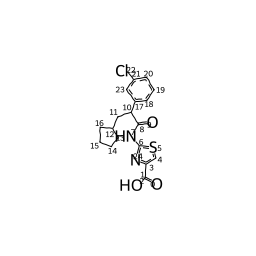 O=C(O)c1csc(NC(=O)C(CC2CCCC2)c2cccc(Cl)c2)n1